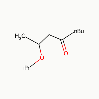 CCCCC(=O)CC(C)OC(C)C